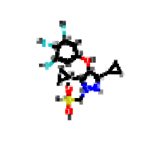 CS(=O)(=O)Cn1nc(C2CC2)c(Oc2cc(F)c(F)c(F)c2)c1C1CC1